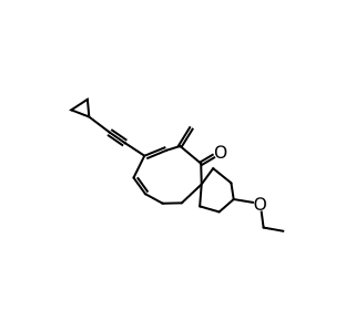 C=C1/C=C(C#CC2CC2)\C=C/CCC2(CCC(OCC)CC2)C1=O